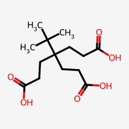 CC(C)(C)C(CCC(=O)O)(CCC(=O)O)CCC(=O)O